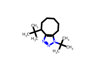 CC(C)(C)C1CCCCCc2c1nnn2C(C)(C)C